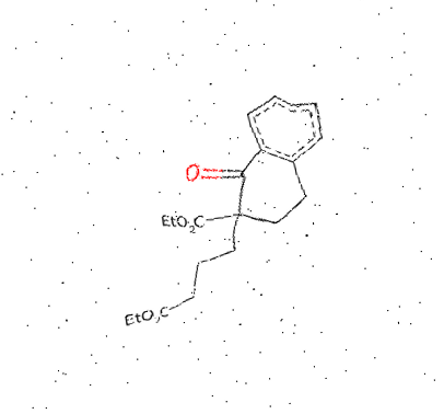 CCOC(=O)CCCC1(C(=O)OCC)CCc2ccccc2C1=O